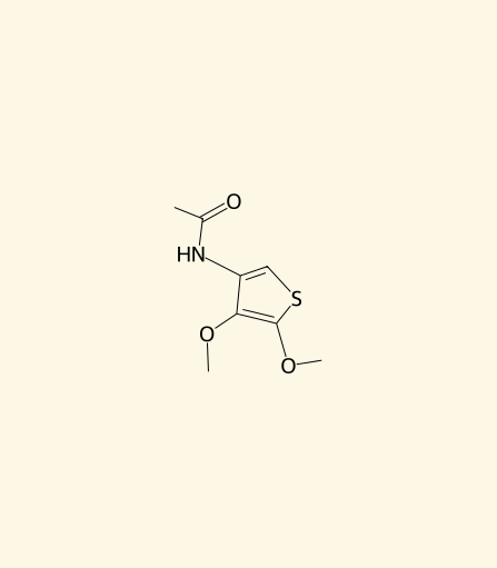 COc1scc(NC(C)=O)c1OC